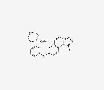 COC1(c2cccc(Sc3ccc4c(ccc5cnc(C)n54)c3)c2)CCOCC1